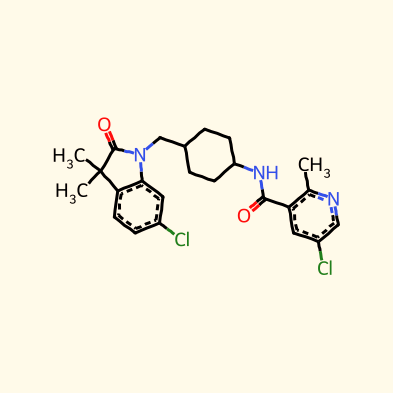 Cc1ncc(Cl)cc1C(=O)NC1CCC(CN2C(=O)C(C)(C)c3ccc(Cl)cc32)CC1